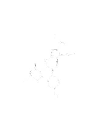 CC(=O)Nc1c(C(=O)C(C)C)oc2nc(-c3ccc(Br)cc3Cl)c(-c3ccc(Cl)cc3)cc12